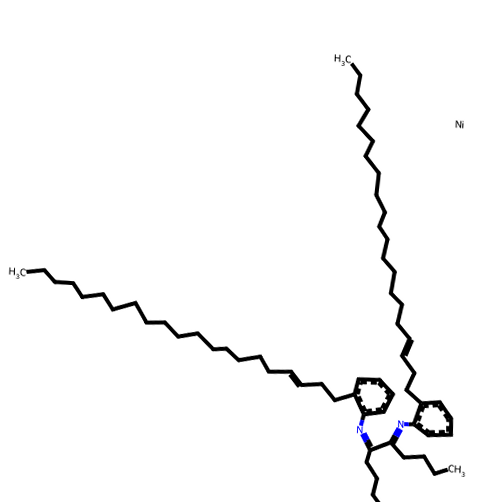 CCCCCCCCCCCCCCCCCC=CCCc1ccccc1N=C(CCCC)C(CCCC)=Nc1ccccc1CCC=CCCCCCCCCCCCCCCCCC.[Ni]